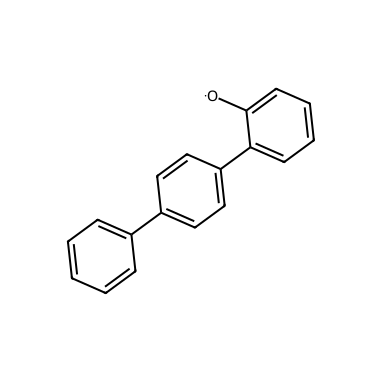 [O]c1ccccc1-c1ccc(-c2ccccc2)cc1